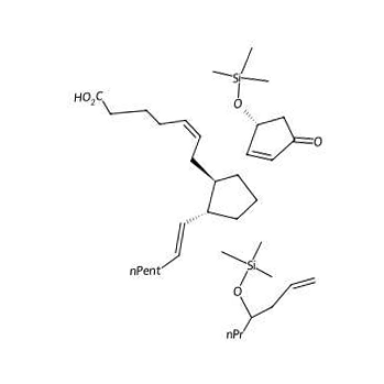 C=CCC(CCC)O[Si](C)(C)C.CCCCC/C=C/[C@H]1CCC[C@@H]1C/C=C\CCCC(=O)O.C[Si](C)(C)O[C@H]1C=CC(=O)C1